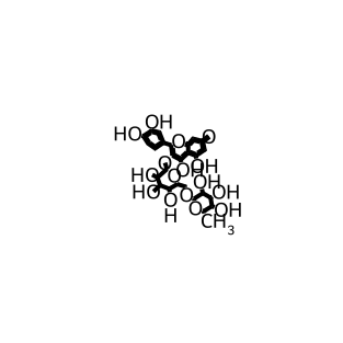 CC1OC(OCC2OC(Oc3c(-c4ccc(O)c(O)c4)oc4cc(=O)cc(O)c-4c3O)C(O)C(O)C2O)C(O)C(O)C1O